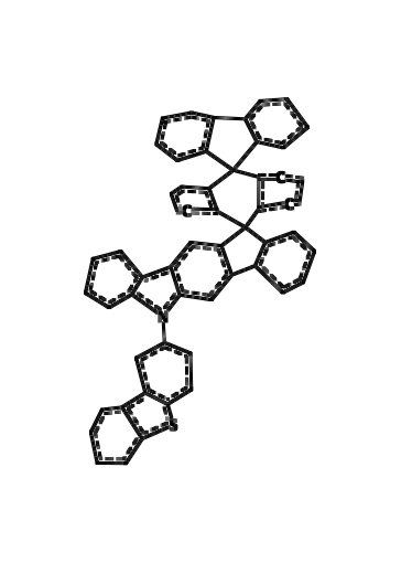 c1ccc2c(c1)-c1ccccc1C21c2ccccc2C2(c3ccccc3-c3cc4c(cc32)c2ccccc2n4-c2ccc3sc4ccccc4c3c2)c2ccccc21